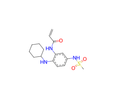 C=CC(=O)Nc1cc(NS(C)(=O)=O)ccc1NC1CCCCC1